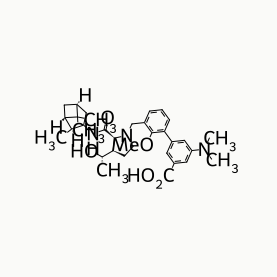 COc1c(CN2CC[C@@H]([C@H](C)O)[C@H]2C(=O)NC2C[C@@H]3C[C@@H]([C@@H]2C)C3(C)C)cccc1-c1cc(C(=O)O)cc(N(C)C)c1